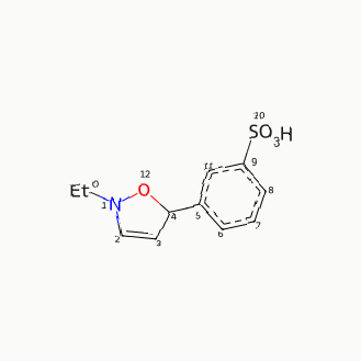 CCN1C=CC(c2cccc(S(=O)(=O)O)c2)O1